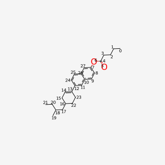 CCCCC(=O)Oc1ccc2cc(C3=CCC(CC(C)CC)CC3)ccc2c1